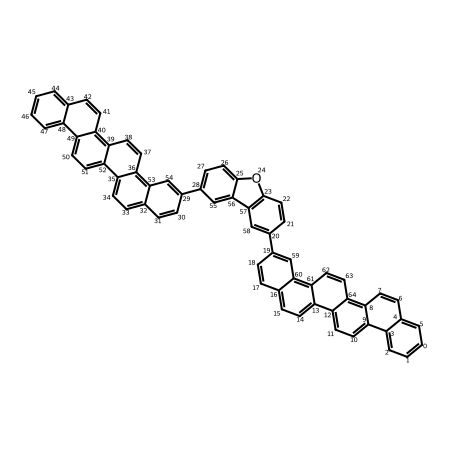 c1ccc2c(c1)ccc1c2ccc2c3ccc4ccc(-c5ccc6oc7ccc(-c8ccc9ccc%10c(ccc%11c%12ccc%13ccccc%13c%12ccc%10%11)c9c8)cc7c6c5)cc4c3ccc12